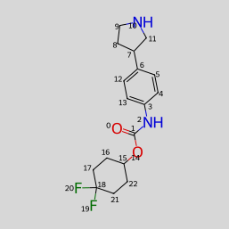 O=C(Nc1ccc(C2CCNC2)cc1)OC1CCC(F)(F)CC1